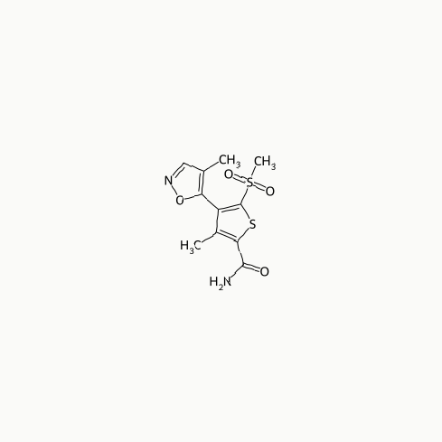 Cc1cnoc1-c1c(S(C)(=O)=O)sc(C(N)=O)c1C